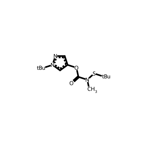 CN(SC(C)(C)C)C(=O)Oc1cnn(C(C)(C)C)c1